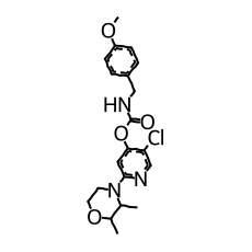 COc1ccc(CNC(=O)Oc2cc(N3CCOC(C)C3C)ncc2Cl)cc1